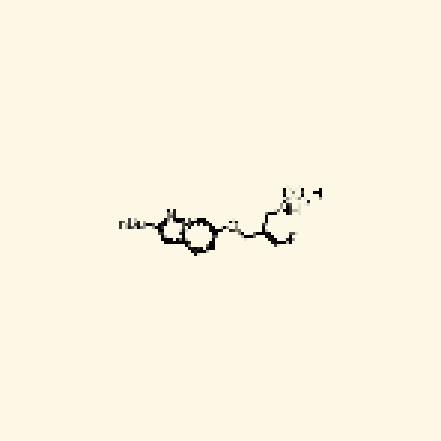 CCCCc1cc2ccc(OCC(=CF)CNC(=O)O)cn2n1